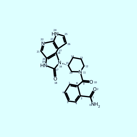 NC(=O)c1ccccc1C(=O)N1CCC[C@@H](n2c(=O)[nH]c3cnc4[nH]ccc4c32)C1